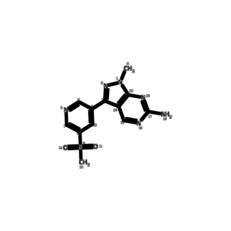 Cn1nc(-c2cncc(S(C)(=O)=O)c2)c2cnc(N)nc21